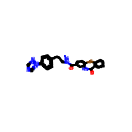 O=C(NCCc1ccc(-n2cncn2)cc1)c1ccc2c(c1)NC(=O)c1ccccc1S2